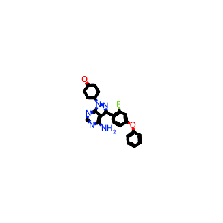 Nc1ncnc2c1c(-c1ccc(Oc3ccccc3)cc1F)nn2C1CCC(=O)CC1